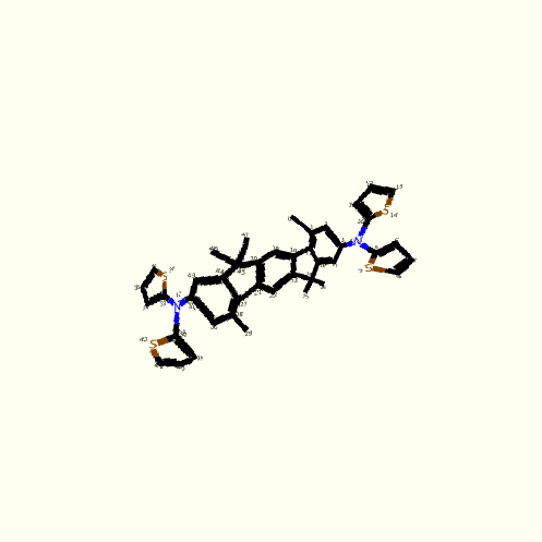 Cc1cc(N(c2cccs2)c2cccs2)cc2c1-c1cc3c(cc1C2(C)C)-c1c(C)cc(N(c2cccs2)c2cccs2)cc1C3(C)C